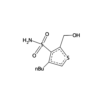 CCCCc1csc(CO)c1S(N)(=O)=O